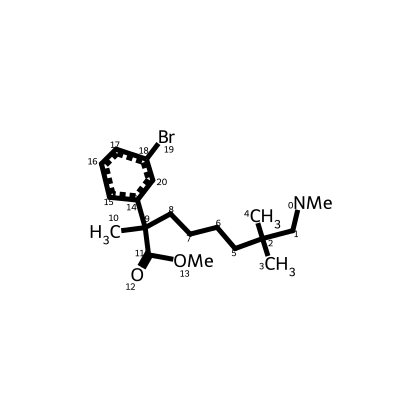 CNCC(C)(C)CCCCC(C)(C(=O)OC)c1cccc(Br)c1